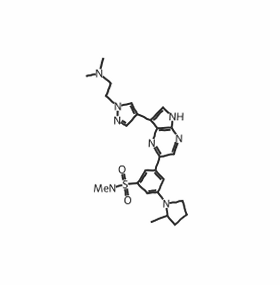 CNS(=O)(=O)c1cc(-c2cnc3[nH]cc(-c4cnn(CCN(C)C)c4)c3n2)cc(N2CCCC2C)c1